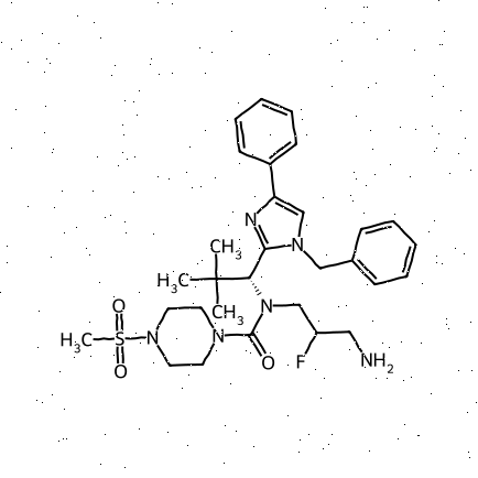 CC(C)(C)[C@H](c1nc(-c2ccccc2)cn1Cc1ccccc1)N(CC(F)CN)C(=O)N1CCN(S(C)(=O)=O)CC1